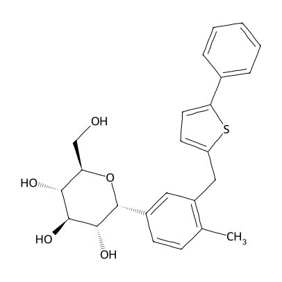 Cc1ccc([C@H]2O[C@H](CO)[C@@H](O)[C@H](O)[C@H]2O)cc1Cc1ccc(-c2ccccc2)s1